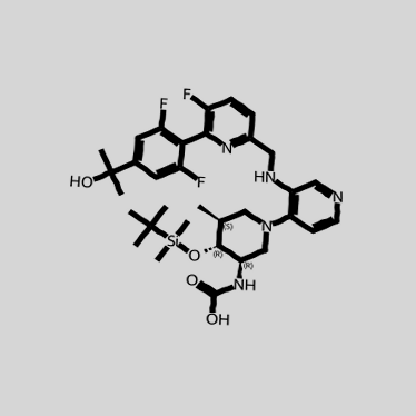 C[C@H]1CN(c2ccncc2NCc2ccc(F)c(-c3c(F)cc(C(C)(C)O)cc3F)n2)C[C@@H](NC(=O)O)[C@@H]1O[Si](C)(C)C(C)(C)C